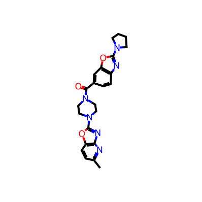 Cc1ccc2oc(N3CCN(C(=O)c4ccc5nc(N6CCCC6)oc5c4)CC3)nc2n1